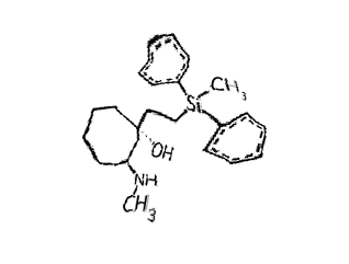 CN[C@H]1CCCC[C@@]1(O)CC[Si](C)(c1ccccc1)c1ccccc1